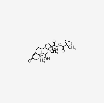 C=C(C)C(=O)OCC(=O)[C@@]1(O)CCC2C3CCC4=CC(=O)CCC4(C)C3C(O)CC21C